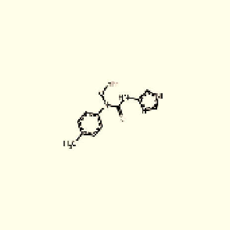 CCCON(C(=O)Nc1c[nH]cn1)c1ccc(C)cc1